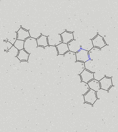 CC1(C)c2ccccc2-c2c(-c3ccc(-c4ccc(-c5cc(-c6ccc(-c7ccccc7)c(-c7ccccc7)c6)nc(-c6ccccc6)n5)c5ccccc45)cc3)cccc21